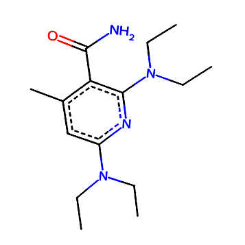 CCN(CC)c1cc(C)c(C(N)=O)c(N(CC)CC)n1